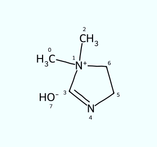 C[N+]1(C)C=NCC1.[OH-]